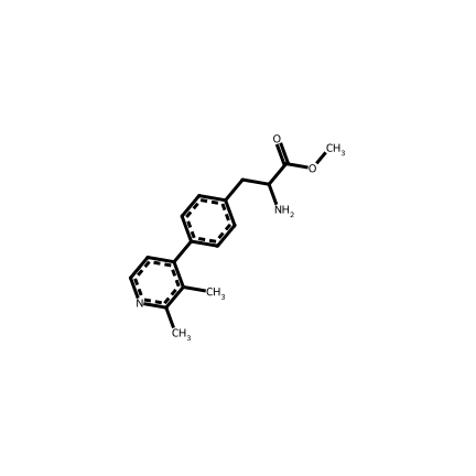 COC(=O)C(N)Cc1ccc(-c2ccnc(C)c2C)cc1